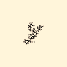 Cc1nnc(SCC2=C(C(=O)OC(C)OC(=O)C(C)(C)C)N3C(=O)C(NC(=O)C(O)c4ccccc4)[C@@H]3SC2)s1